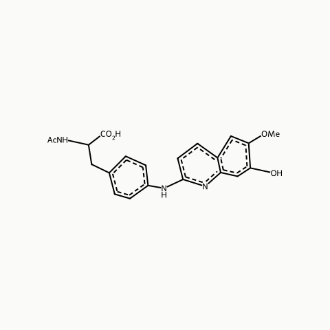 COc1cc2ccc(Nc3ccc(CC(NC(C)=O)C(=O)O)cc3)nc2cc1O